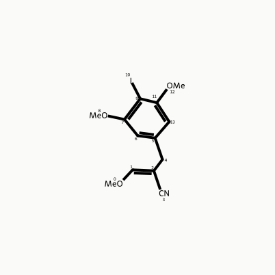 COC=C(C#N)Cc1cc(OC)c(I)c(OC)c1